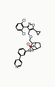 O=C(Nc1cccc(-c2ccncc2)c1)N1C2CCC(COCc3c(-c4c(Cl)cccc4Cl)noc3C3CC3)C1CC2